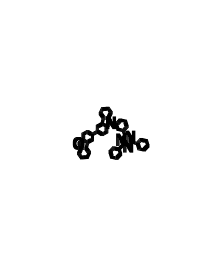 C1=CC(c2nc(-c3ccccc3)nc(-c3ccccc3)n2)CC(n2c3ccccc3c3cc(-c4ccc5oc6ccccc6c5c4)ccc32)=C1